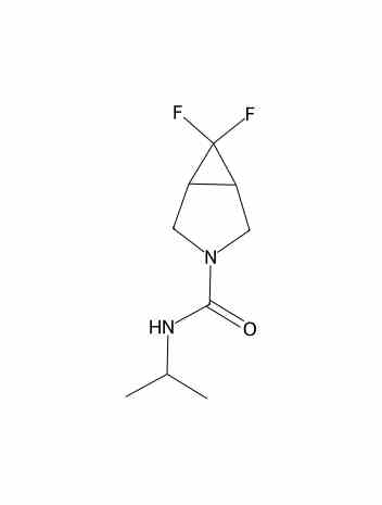 CC(C)NC(=O)N1CC2C(C1)C2(F)F